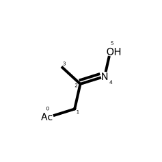 CC(=O)C/C(C)=N/O